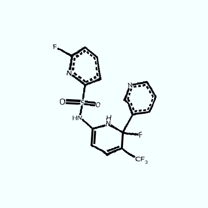 O=S(=O)(NC1=CC=C(C(F)(F)F)C(F)(c2cccnc2)N1)c1cccc(F)n1